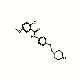 COc1ccc(Cl)c(C(=O)Nc2ccc(CCN3CCNCC3)cc2)c1